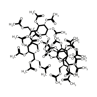 CC(=O)OC[C@H](OC(C)=O)[C@H]1O[C@@H](OP(=O)(O[C@@H]2O[C@H]([C@H](COC(C)=O)OC(C)=O)[C@@H](OC(C)=O)[C@H](OC(C)=O)[C@@H]2OC(C)=O)OP(=O)(O[C@@H]2O[C@H]([C@H](COC(C)=O)OC(C)=O)[C@@H](OC(C)=O)[C@H](OC(C)=O)[C@@H]2OC(C)=O)O[C@@H]2O[C@H]([C@H](COC(C)=O)OC(C)=O)[C@@H](OC(C)=O)[C@H](OC(C)=O)[C@@H]2OC(C)=O)[C@@H](OC(C)=O)[C@@H](OC(C)=O)[C@@H]1OC(C)=O